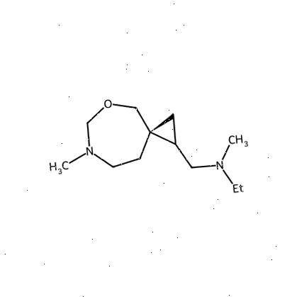 CCN(C)CC1C[C@]12CCN(C)COC2